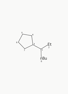 [CH2]CCCC(C[CH2])C1CCCC1